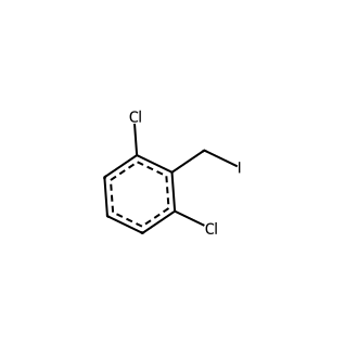 Clc1cccc(Cl)c1CI